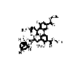 COc1c(CC(NC(=O)C(NC(=O)OC(C)(C)C)c2c(F)cc(C(=O)OC(C)(C)C)cc2F)B2O[C@@H]3C[C@@H]4C[C@@H](C4(C)C)[C@]3(C)O2)cccc1C(=O)OC(C)(C)C